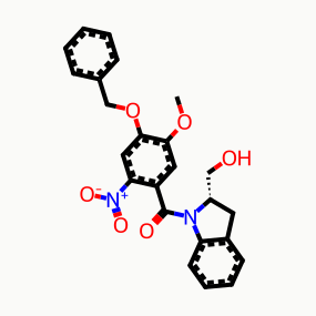 COc1cc(C(=O)N2c3ccccc3C[C@H]2CO)c([N+](=O)[O-])cc1OCc1ccccc1